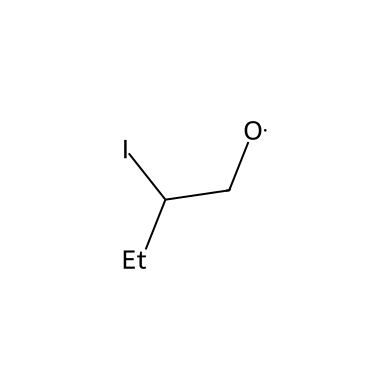 CCC(I)C[O]